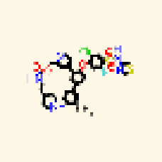 O=C(NCCC1CCNCC1)OCc1cc(-c2cc(-c3cccc(C(F)(F)F)c3)ccc2Oc2cc(F)c(S(=O)(=O)Nc3cscn3)cc2Cl)ccn1